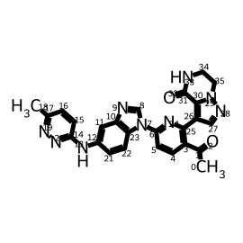 CC(=O)c1ccc(-n2cnc3cc(Nc4ccc(C)nn4)ccc32)nc1-c1cnn2c1C(=O)NCC2